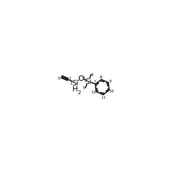 C#C[SiH2]O[Si](C)(C)c1ccccc1